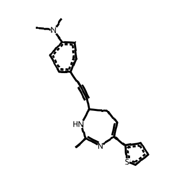 CC1=NC(c2cccs2)=CCC(C#Cc2ccc(N(C)C)cc2)N1